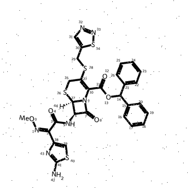 CO/N=C(\C(=O)N[C@@H]1C(=O)N2C(C(=O)OC(c3ccccc3)c3ccccc3)=C(SCc3cnns3)CS[C@H]12)c1csc(N)n1